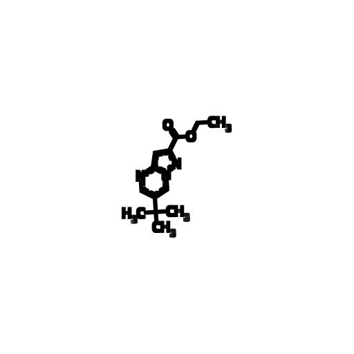 CCOC(=O)c1cc2ncc(C(C)(C)C)cn2n1